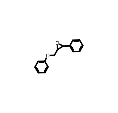 c1ccc(OCC2OC2c2ccccc2)cc1